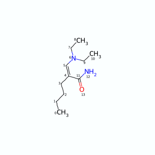 CCCCC(=CN(CC)CC)C(N)=O